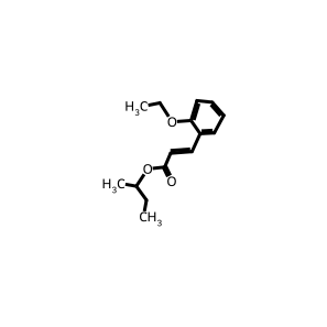 CCOc1ccccc1C=CC(=O)OC(C)CC